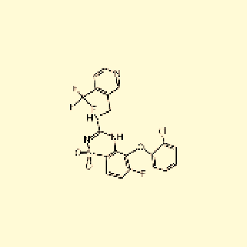 O=S1(=O)N=C(NCc2cnccc2C(F)(F)F)Nc2c1ccc(F)c2Oc1ccccc1Cl